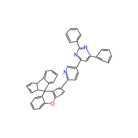 C1=CC2c3ccccc3C3(c4ccccc4Oc4ccc(-c5ccc(-c6cc(-c7ccccc7)nc(-c7ccccc7)n6)cn5)cc43)C2C=C1